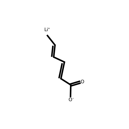 CC=CC=CC(=O)[O-].[Li+]